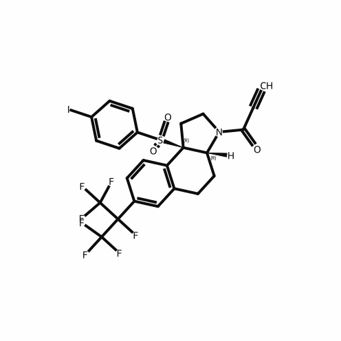 C#CC(=O)N1CC[C@@]2(S(=O)(=O)c3ccc(I)cc3)c3ccc(C(F)(C(F)(F)F)C(F)(F)F)cc3CC[C@@H]12